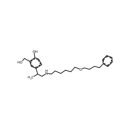 CC(CNCCCCCCOCCCCc1ccccc1)c1ccc(O)c(CO)c1